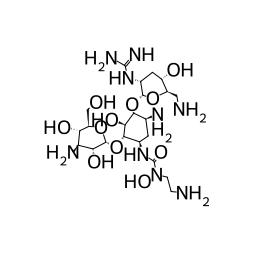 N=C(N)N[C@@H]1C[C@H](O)[C@@H](CN)O[C@@H]1O[C@H]1[C@H](O)[C@@H](O[C@H]2O[C@H](CO)[C@@H](O)[C@H](N)[C@H]2O)[C@H](NC(=O)N(O)CCN)C[C@@H]1N